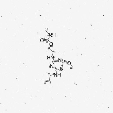 C=CCNc1nc(NCCOC(=O)NC)nc(OC)n1